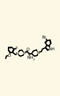 CCOc1cccc(F)c1CN1CCN(C(=O)[C@H](N)C2CCN(CCc3c[nH]c4ccc(Br)cc34)CC2)CC1